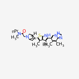 CCCN(C)C(=O)CN1C[C@@H]2CC1C[C@H]2c1sc2[nH]c(-c3cn4ncnc4c(C)c3C)c(C(C)C)c2c1C